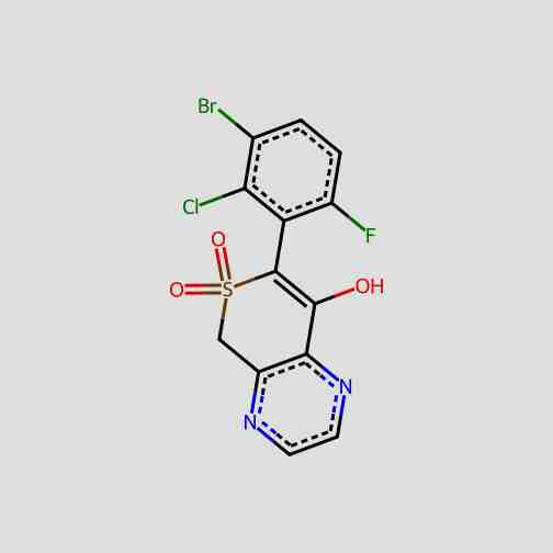 O=S1(=O)Cc2nccnc2C(O)=C1c1c(F)ccc(Br)c1Cl